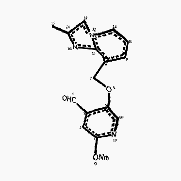 COc1cc(C=O)c(OCc2cccn3cc(C)nc23)cn1